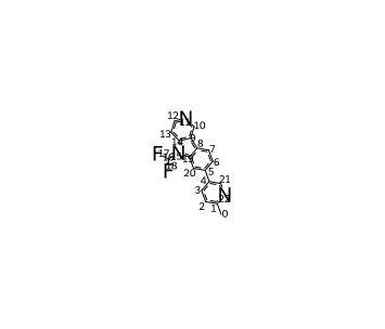 Cc1ccc(-c2ccc3c4cnccc4n(C(F)F)c3c2)cn1